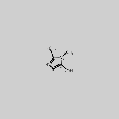 Cc1ncc(O)n1C